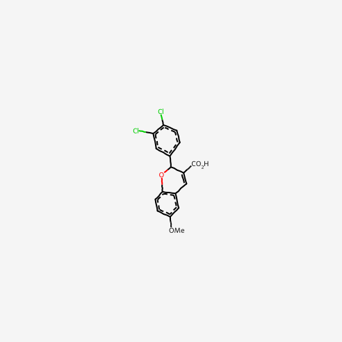 COc1ccc2c(c1)C=C(C(=O)O)C(c1ccc(Cl)c(Cl)c1)O2